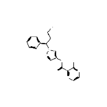 Nc1nccnc1C(=O)Nc1cnn(C(CCO)c2ccccc2)c1